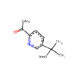 COC(=O)c1ccc(C(C)(C)OC)cn1